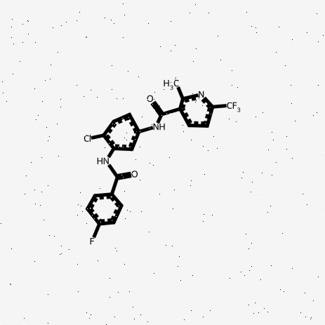 Cc1nc(C(F)(F)F)ccc1C(=O)Nc1ccc(Cl)c(NC(=O)c2ccc(F)cc2)c1